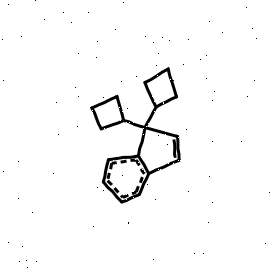 C1=CC(C2CCC2)(C2CCC2)c2ccccc21